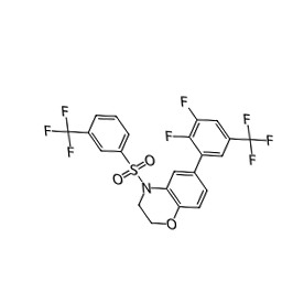 O=S(=O)(c1cccc(C(F)(F)F)c1)N1CCOc2ccc(-c3cc(C(F)(F)F)cc(F)c3F)cc21